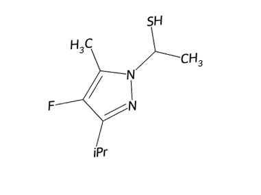 Cc1c(F)c(C(C)C)nn1C(C)S